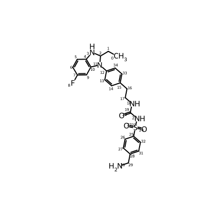 CCC1Nc2ccc(F)cc2N1c1ccc(CCNC(=O)NS(=O)(=O)c2ccc(CN)cc2)cc1